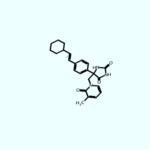 Cc1cccn(CC2(c3ccc(/C=C/C4CCCCC4)cc3)NC(=O)NC2=O)c1=O